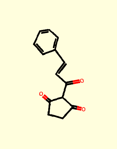 O=C(C=Cc1ccccc1)C1C(=O)CCC1=O